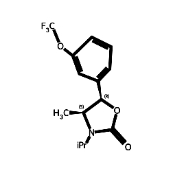 CC(C)N1C(=O)O[C@H](c2cccc(OC(F)(F)F)c2)[C@@H]1C